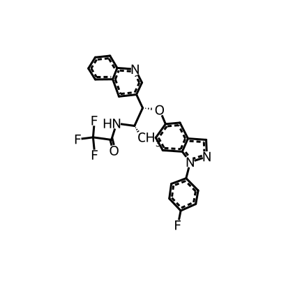 C[C@H](NC(=O)C(F)(F)F)[C@@H](Oc1ccc2c(cnn2-c2ccc(F)cc2)c1)c1cnc2ccccc2c1